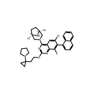 Fc1c(-c2cccc3ccccc23)c(Cl)cc2c(N3C[C@H]4CC[C@@H](C3)N4)nc(OCCC3(N4CCCC4)CC3)nc12